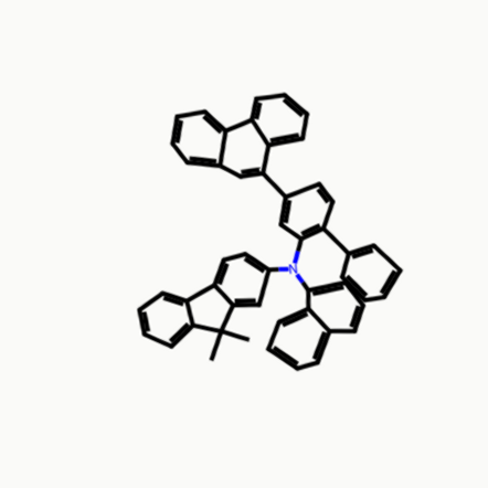 CC1(C)c2ccccc2-c2ccc(N(c3cc(-c4cc5ccccc5c5ccccc45)ccc3-c3ccccc3)c3cccc4ccccc34)cc21